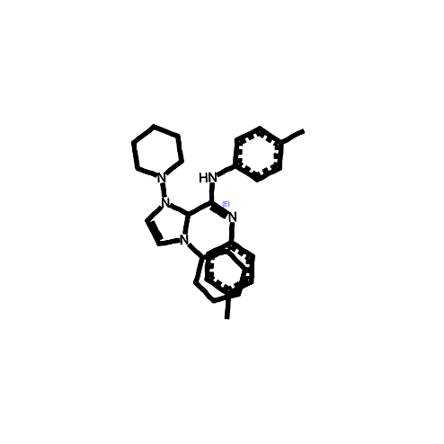 Cc1ccc(/N=C(/Nc2ccc(C)cc2)C2N(C3CCCCC3)C=CN2N2CCCCC2)cc1